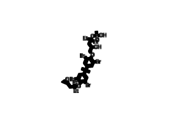 CCC(CC)(CC1CO1)Oc1c(Br)cc(C(C)(C)c2cc(Br)c(OCC(O)CC(CC)(CC)OP(C)(=O)O)c(Br)c2)cc1Br